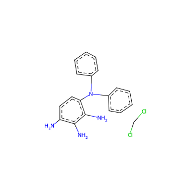 ClCCl.Nc1ccc(N(c2ccccc2)c2ccccc2)c(N)c1N